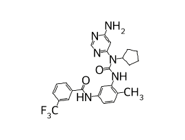 Cc1ccc(NC(=O)c2cccc(C(F)(F)F)c2)cc1NC(=O)N(c1cc(N)ncn1)C1CCCC1